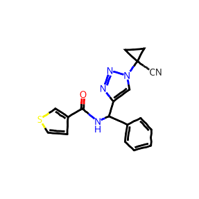 N#CC1(n2cc(C(NC(=O)c3ccsc3)c3ccccc3)nn2)CC1